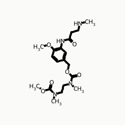 CNCCC(=O)Nc1cc(COC(=O)N(C)CCN(C)C(=O)OC)ccc1OC